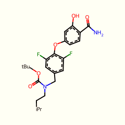 CC(C)CCN(Cc1cc(F)c(Oc2ccc(C(N)=O)c(O)c2)c(F)c1)C(=O)OC(C)(C)C